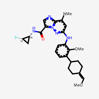 CNc1cc(Nc2cccc(C3CCC(=COC)CC3)c2OC)nn2c(C(=O)N[C@@H]3C[C@@H]3F)cnc12